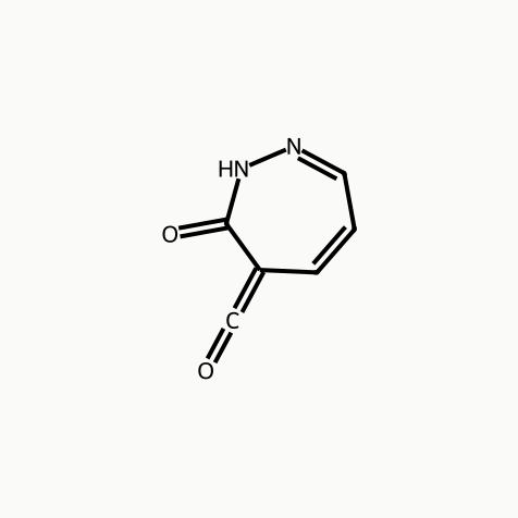 O=C=C1C=CC=NNC1=O